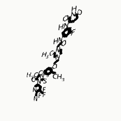 CCc1cc(N2C(=S)N(c3cnc(C#N)c(C(F)(F)F)c3)C(=O)C2(C)C)ccc1OCCN1CCN(CC(=O)Nc2cc(F)cc(NC3CCC(=O)NC3=O)c2)C(C)C1